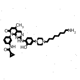 Cc1cc(=O)n(-c2cccc(NC(=O)C3CC3)c2)c2nc(Nc3ccc(N4CCN(CCCCCCCCN)CC4)cc3O)ncc12